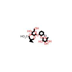 CC[C@@H]1CCC[C@@H](O[C@@H]2OC(CO)[C@H](O)C3O[C@@H](C(=O)O)CC4(CC4)COC32)C1O[C@@H]1OC(C)[C@@H](O)C(O)[C@@H]1O